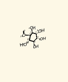 CO[C@H]1[C@@H](O)[C@H](O)[C@H](O)[C@@H](O)[C@@H]1O